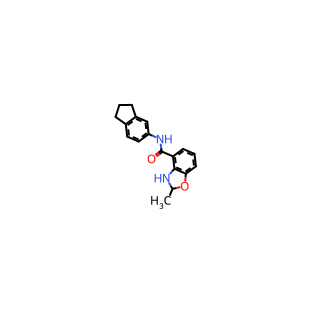 CC1Nc2c(cccc2C(=O)Nc2ccc3c(c2)CCC3)O1